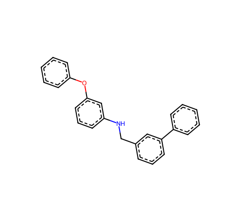 c1ccc(Oc2cccc(NCc3cccc(-c4ccccc4)c3)c2)cc1